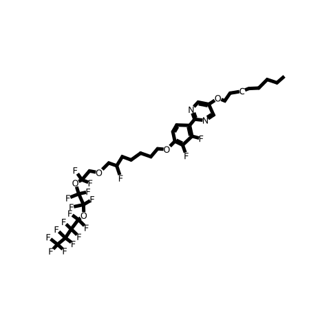 CCCCCCCCOc1cnc(-c2ccc(OCCCCCC(F)COCC(F)(F)OC(F)(F)C(F)(F)OC(F)(F)C(F)(F)C(F)(F)C(F)(F)F)c(F)c2F)nc1